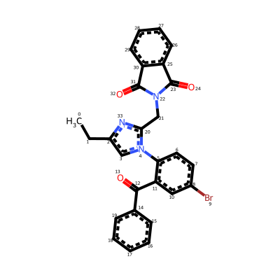 CCc1cn(-c2ccc(Br)cc2C(=O)c2ccccc2)c(CN2C(=O)c3ccccc3C2=O)n1